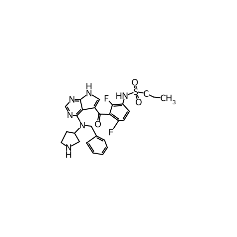 CCCS(=O)(=O)Nc1ccc(F)c(C(=O)c2c[nH]c3ncnc(N(Cc4ccccc4)C4CCNC4)c23)c1F